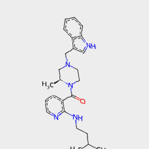 CC(C)CCNc1ncccc1C(=O)N1CCN(Cc2c[nH]c3ccccc23)C[C@@H]1C